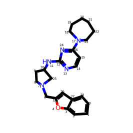 c1ccc2oc(CN3CCC(Nc4nccc(N5CCCCCC5)n4)C3)cc2c1